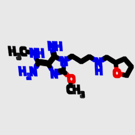 CN/C(N)=C1/N=C(OC)N(CCCNCC2CCCO2)C1=N